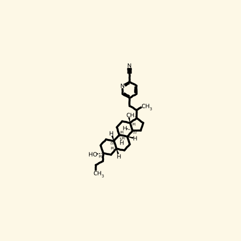 CCC[C@@]1(O)CC[C@H]2[C@H](CC[C@@H]3[C@@H]2CC[C@]2(C)C(C(C)Cc4ccc(C#N)nc4)CC[C@@H]32)C1